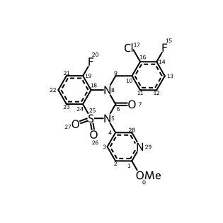 COc1ccc(N2C(=O)N(Cc3cccc(F)c3Cl)c3c(F)cccc3S2(=O)=O)cn1